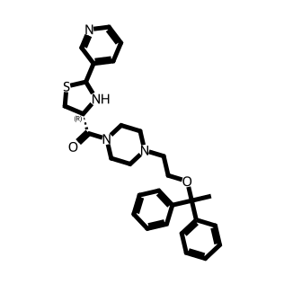 CC(OCCN1CCN(C(=O)[C@@H]2CSC(c3cccnc3)N2)CC1)(c1ccccc1)c1ccccc1